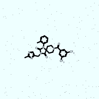 Cc1nc(CN2C(=O)N(c3ccccc3C)C3(CCN(C(=O)c4cc(C(F)(F)F)cc(C(F)(F)F)c4)CC3)C2=O)cs1